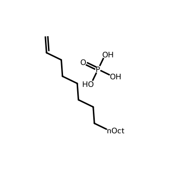 C=CCCCCCCCCCCCCCC.O=P(O)(O)O